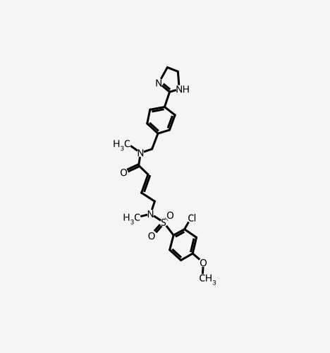 COc1ccc(S(=O)(=O)N(C)C/C=C/C(=O)N(C)Cc2ccc(C3=NCCN3)cc2)c(Cl)c1